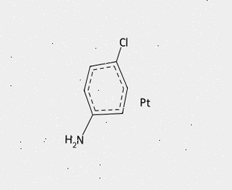 Nc1ccc(Cl)cc1.[Pt]